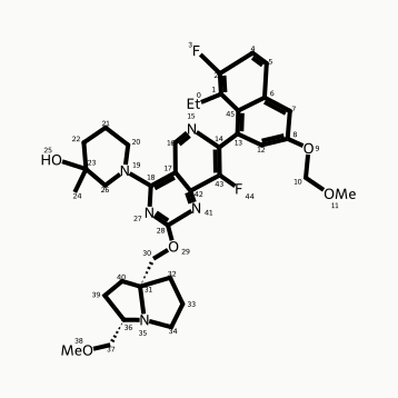 CCc1c(F)ccc2cc(OCOC)cc(-c3ncc4c(N5CCCC(C)(O)C5)nc(OC[C@]56CCCN5[C@H](COC)CC6)nc4c3F)c12